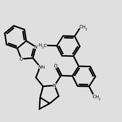 Cc1cc(C)cc(-c2ccc(C)cc2C(=O)N2CC3CC3C2CNc2nc3ccccc3o2)c1